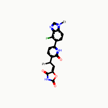 CCn1cnc2c(F)c(-c3ccc(C(C=C4OC(=O)NC4=O)C(C)C)c(=O)[nH]3)ccc21